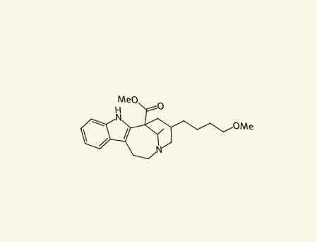 COCCCCC1CN2CCc3c([nH]c4ccccc34)C(C(=O)OC)(C1)C2C